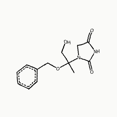 CC(CO)(OCc1ccccc1)N1CC(=O)NC1=O